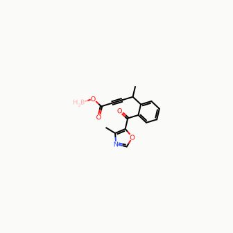 BOC(=O)C#CC(C)c1ccccc1C(=O)c1ocnc1C